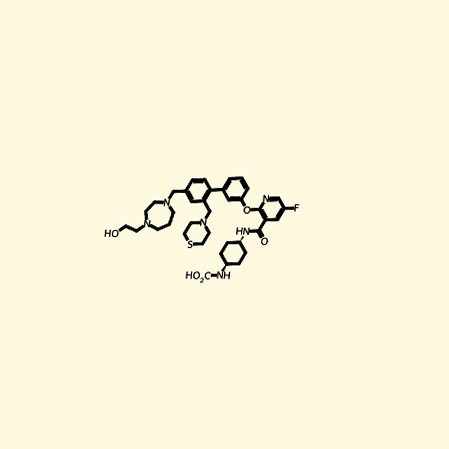 O=C(O)N[C@H]1CC[C@H](NC(=O)c2cc(F)cnc2Oc2cccc(-c3ccc(CN4CCCN(CCO)CC4)cc3CN3CCSCC3)c2)CC1